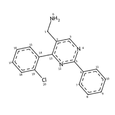 NCc1cnc(-c2ccccc2)nc1-c1ccccc1Cl